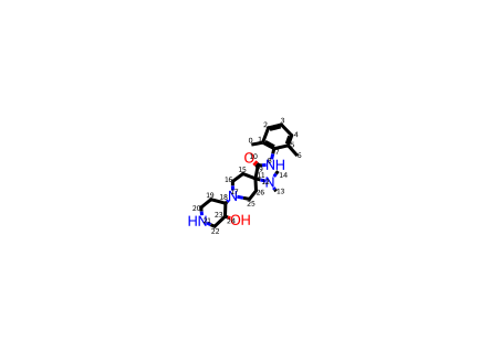 Cc1cccc(C)c1NC(=O)C1(N(C)C)CCN(C2CCNCC2O)CC1